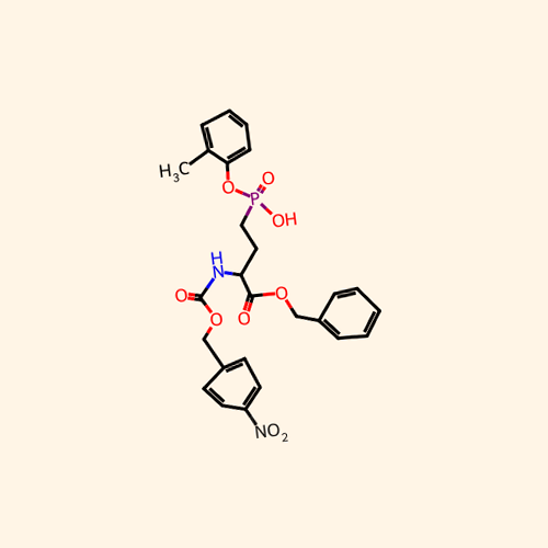 Cc1ccccc1OP(=O)(O)CCC(NC(=O)OCc1ccc([N+](=O)[O-])cc1)C(=O)OCc1ccccc1